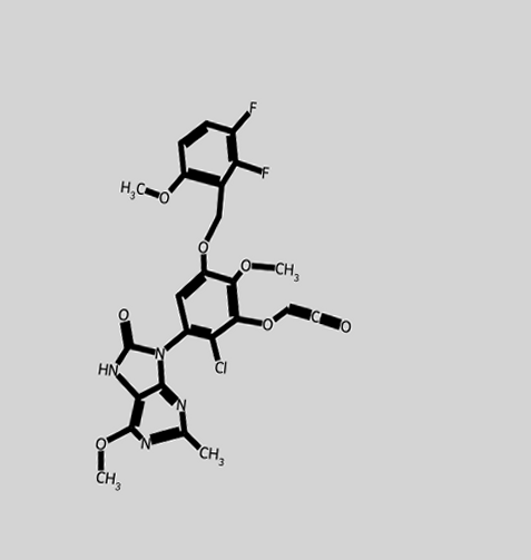 COc1ccc(F)c(F)c1COc1cc(-n2c(=O)[nH]c3c(OC)nc(C)nc32)c(Cl)c(OC=C=O)c1OC